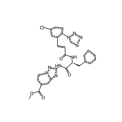 COC(=O)c1ccn2nc(NC(=O)[C@H](Cc3ccccc3)NC(=O)C=Cc3cc(Cl)ccc3-n3cnnn3)nc2c1